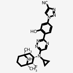 C[C@@]12CCC[C@@](C)(N1)[C@@H](F)[C@@H](N(c1cnc(-c3ccc(-n4cc(C#N)nn4)cc3O)nn1)C1CC1)C2